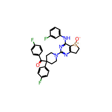 O=C(c1ccc(F)cc1)C1(c2ccc(F)cc2)CCN(c2nc3c(c(Nc4cccc(F)c4)n2)[S+]([O-])CC3)CC1